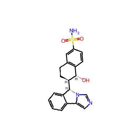 NS(=O)(=O)c1ccc2c(c1)CC[C@H]([C@H]1c3ccccc3-c3cncn31)[C@H]2O